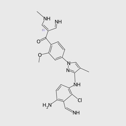 CN/C=C(\C=N)C(=O)c1ccc(-n2cc(C)c(Nc3ccc(N)c(C=N)c3Cl)n2)cc1OC